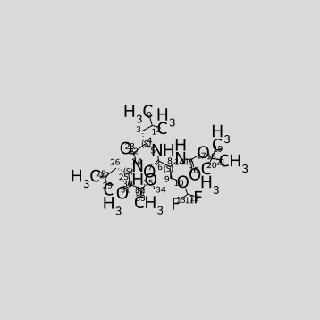 CC(C)C[C@H](NC(=O)[C@H](COC(F)F)NC(=O)OC(C)(C)C)C(=O)N[C@@H](CC(C)C)C(=O)[C@@]1(C)CO1